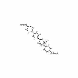 CCCCCC1CCC(c2ccc(-c3ccc(C4CCC(CCCCC)CC4)c(F)c3)cc2)CC1